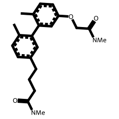 CNC(=O)CCCc1ccc(C)c(-c2cc(OCC(=O)NC)ccc2C)c1